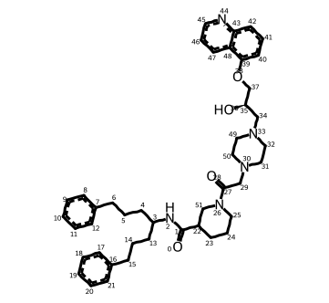 O=C(NC(CCCc1ccccc1)CCCc1ccccc1)C1CCCN(C(=O)CN2CCN(C[C@@H](O)COc3cccc4ncccc34)CC2)C1